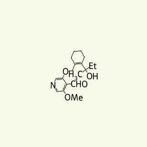 CCC(C)(O)C1=C(COc2cncc(OC)c2C=O)CCCC1